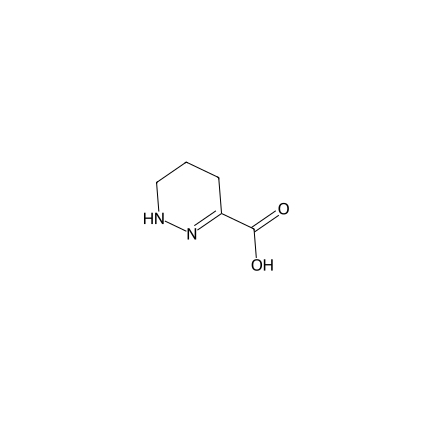 O=C(O)C1=NNCCC1